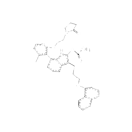 Cc1ccnc(OCCN2CCCC2=O)c1-c1cccc2c(CCCOc3cccc4ccccc34)c(OC(=O)O)[nH]c12